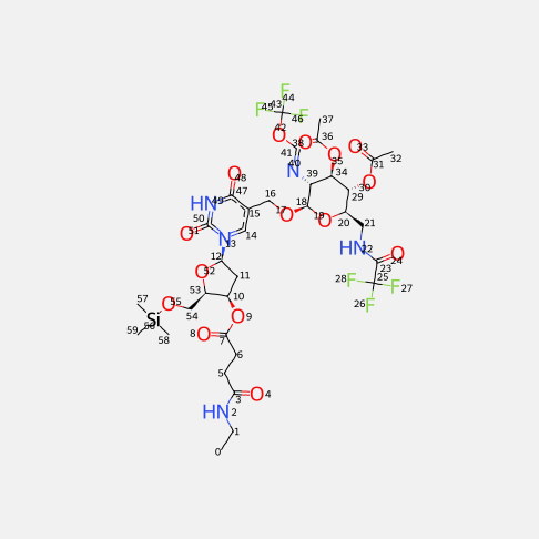 CCNC(=O)CCC(=O)O[C@@H]1C[C@H](n2cc(CO[C@@H]3O[C@H](CNC(=O)C(F)(F)F)[C@@H](OC(C)=O)[C@H](OC(C)=O)[C@H]3/N=C/OC(F)(F)F)c(=O)[nH]c2=O)O[C@@H]1CO[Si](C)(C)C